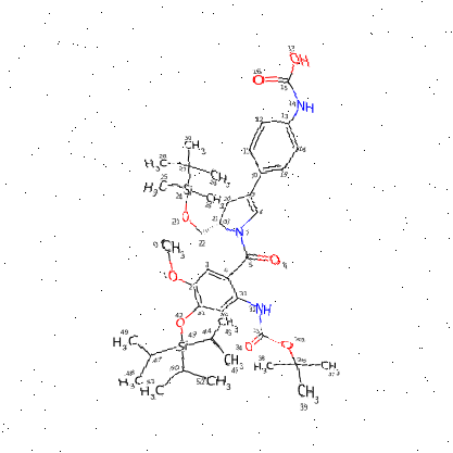 COc1cc(C(=O)N2C=C(c3ccc(NC(=O)O)cc3)C[C@H]2CO[Si](C)(C)C(C)(C)C)c(NC(=O)OC(C)(C)C)cc1O[Si](C(C)C)(C(C)C)C(C)C